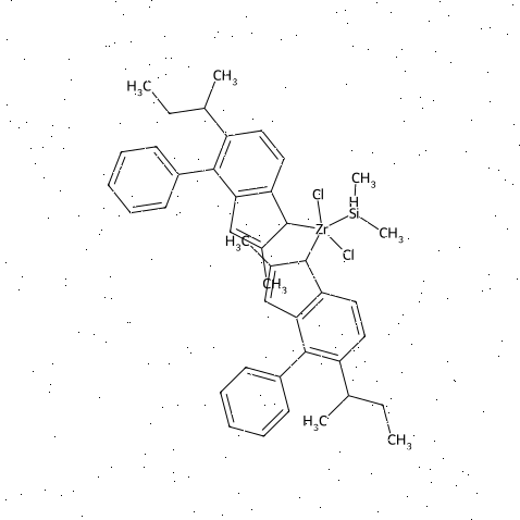 CCC(C)c1ccc2c(c1-c1ccccc1)C=C(C)[CH]2[Zr]([Cl])([Cl])([CH]1C(C)=Cc2c1ccc(C(C)CC)c2-c1ccccc1)[SiH](C)C